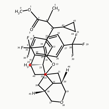 COC(=O)C(C)C(c1ccc2c(c1)OC(C1[C@@H]3COC[C@H]1CN([C@H](C)c1cc(C(F)(F)F)ccc1C(F)(F)F)C3)CC2)C1CC1